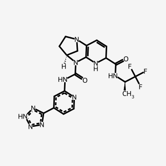 C[C@@H](NC(=O)C1C=CC2=C(N1)N(C(=O)Nc1cc(-c3nn[nH]n3)ccn1)[C@H]1CCN2C1)C(F)(F)F